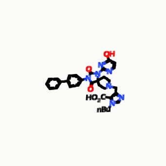 CCCCn1cnc(CN2CCC3(CC2)C(=O)N(c2ccc(-c4ccccc4)cc2)C(=O)N3c2nccc(O)n2)c1C(=O)O